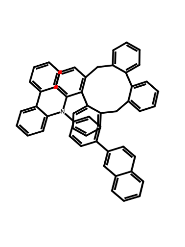 c1ccc(-c2ccccc2N(c2ccc(-c3ccc4ccccc4c3)cc2)c2cccc3c2-c2ccccc2Cc2ccccc2-c2ccccc2C3)cc1